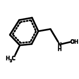 Cc1cccc(CNO)c1